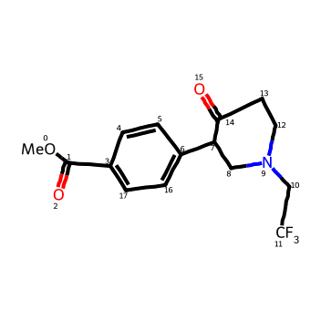 COC(=O)c1ccc(C2CN(CC(F)(F)F)CCC2=O)cc1